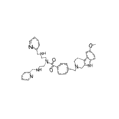 COc1ccc2[nH]c3c(c2c1)CCN(Cc1ccc(S(=O)(=O)N(CCNCc2ccccn2)CCNCc2ccccn2)cc1)C3